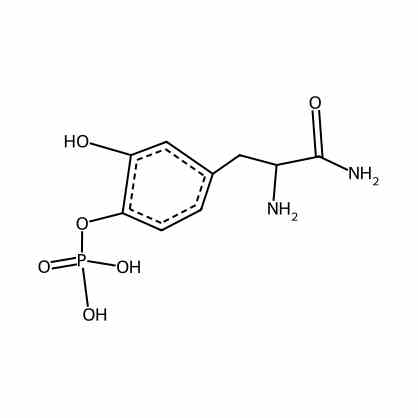 NC(=O)C(N)Cc1ccc(OP(=O)(O)O)c(O)c1